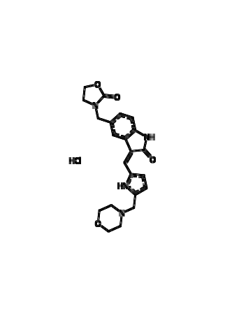 Cl.O=C1Nc2ccc(CN3CCOC3=O)cc2C1=Cc1ccc(CN2CCOCC2)[nH]1